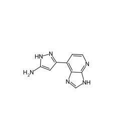 Nc1cc(-c2ccnc3[nH]cnc23)n[nH]1